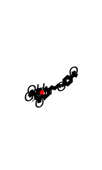 CC(=O)c1ccc(OCCCN2CCN(C(=O)[C@H](C)N(C(=O)O)C(C)(C)C)CC2)cc1